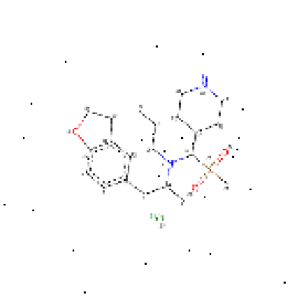 CCCN(C(C)Cc1ccc2c(c1)CCO2)C(C1CCNCC1)S(C)(=O)=O.Cl